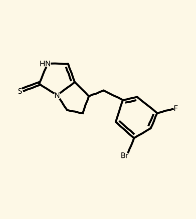 Fc1cc(Br)cc(CC2CCn3c2c[nH]c3=S)c1